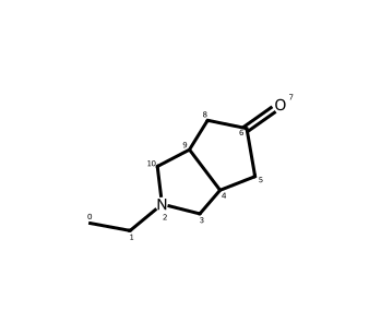 CCN1CC2CC(=O)CC2C1